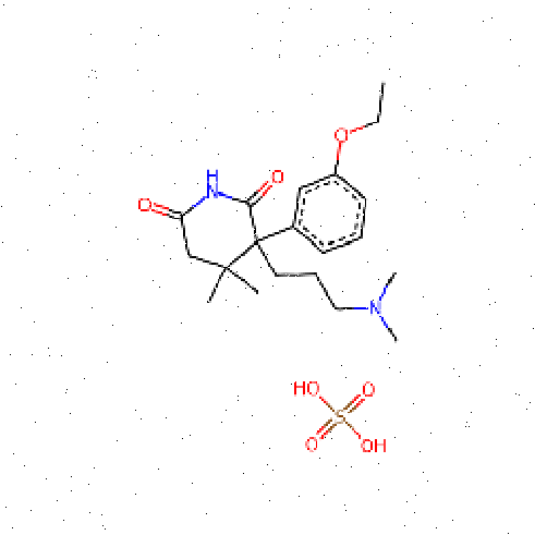 CCOc1cccc(C2(CCCN(C)C)C(=O)NC(=O)CC2(C)C)c1.O=S(=O)(O)O